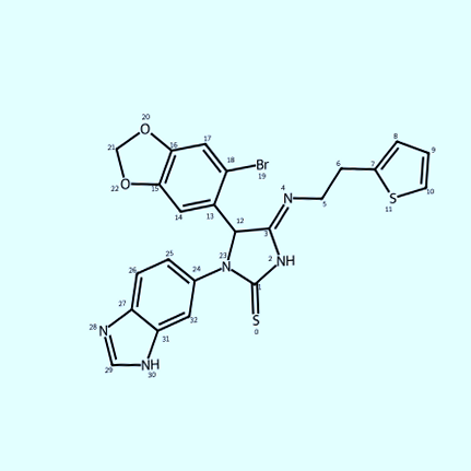 S=C1NC(=NCCc2cccs2)C(c2cc3c(cc2Br)OCO3)N1c1ccc2nc[nH]c2c1